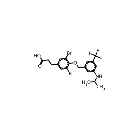 CC(C)Nc1cc(COc2c(Br)cc(CCC(=O)O)cc2Br)cc(C(F)(F)F)c1